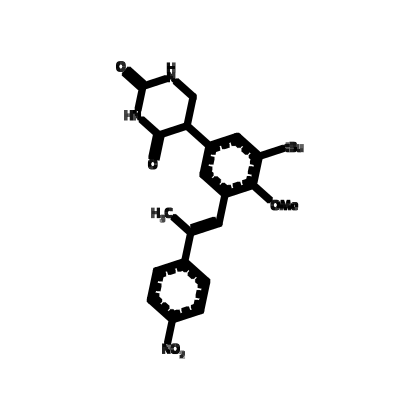 COc1c(/C=C(\C)c2ccc([N+](=O)[O-])cc2)cc(C2CNC(=O)NC2=O)cc1C(C)(C)C